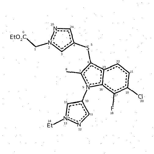 CCOC(=O)Cn1cc(Sc2c(C)n(-c3cnn(CC)c3)c3c(F)c(Cl)ccc23)cn1